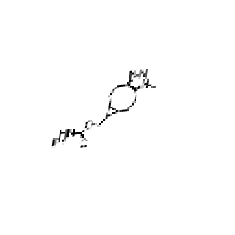 CC(C)NC(=O)OCC1C2CCc3nnn(C)c3CCC21